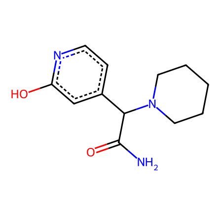 NC(=O)C(c1ccnc(O)c1)N1CCCCC1